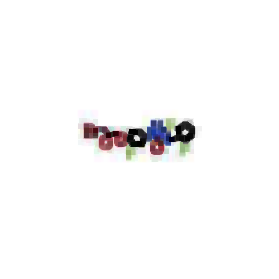 O=C(CBr)COc1ccc(-n2ncn(Cc3c(F)cccc3F)c2=O)cc1F